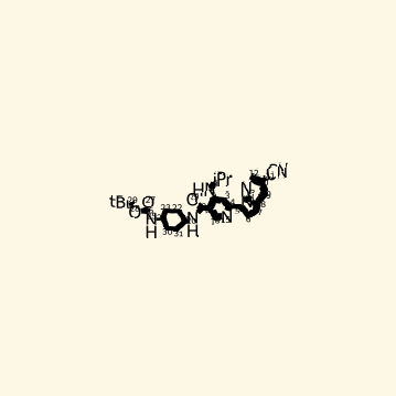 CC(C)Nc1cc(-c2ccc3cc(C#N)cnn23)ncc1C(=O)N[C@H]1CC[C@H](NC(=O)OC(C)(C)C)CC1